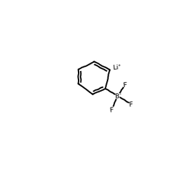 F[B-](F)(F)c1ccccc1.[Li+]